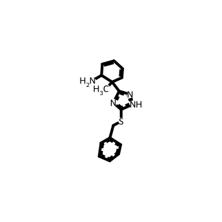 CC1(c2n[nH]c(SCc3ccccc3)n2)C=CC=CC1N